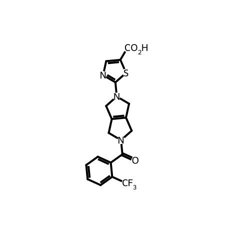 O=C(O)c1cnc(N2CC3=C(CN(C(=O)c4ccccc4C(F)(F)F)C3)C2)s1